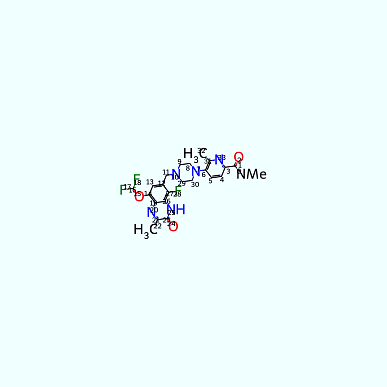 CNC(=O)c1ccc(N2CCN(Cc3cc(OC(F)F)c4nc(C)c(=O)[nH]c4c3F)CC2)c(C)n1